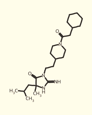 CC(C)CC1(C)NC(=N)N(CCC2CCN(C(=O)CC3CCCCC3)CC2)C1=O